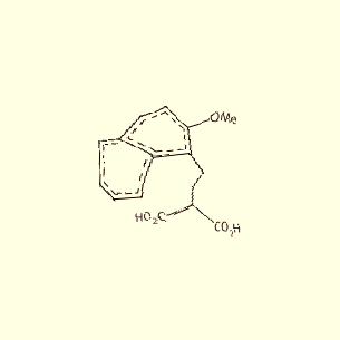 COc1ccc2ccccc2c1CC(C(=O)O)C(=O)O